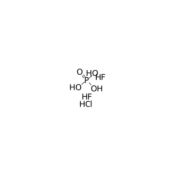 Cl.F.F.O=P(O)(O)O